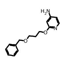 Nc1ccnc(OCCCOCc2ccccc2)c1